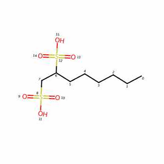 CCCCCCC(CS(=O)(=O)O)S(=O)(=O)O